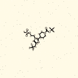 CC(C)(C)OC(=O)N1CCC(c2nc(CC(F)(F)F)cn2CCOS(C)(=O)=O)CC1